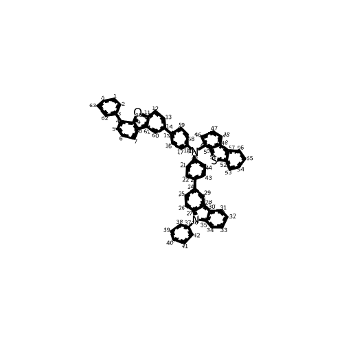 c1ccc(-c2cccc3c2oc2ccc(-c4ccc(N(c5ccc(-c6ccc7c(c6)c6ccccc6n7-c6ccccc6)cc5)c5cccc6c5sc5ccccc56)cc4)cc23)cc1